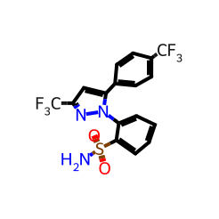 NS(=O)(=O)c1ccccc1-n1nc(C(F)(F)F)cc1-c1ccc(C(F)(F)F)cc1